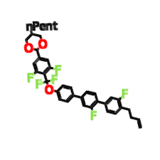 C=CCCc1ccc(-c2ccc(-c3ccc(OC(F)(F)c4c(F)cc(C5OCC(CCCCC)CO5)cc4F)cc3)cc2F)cc1F